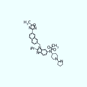 Cc1nc(-c2ccc3ccc(Cn4c(C(C)C)nc5ccc(N(C6CCN(C7=NCCC7)CC6)S(C)(=O)=O)cc54)cc3c2)no1